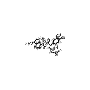 C[C@@H]1C[C@@H](O)c2ncnc(N3CCN(C(=O)C(CNCC4CC4)c4ccc(Cl)c(Cl)c4)CC3)c21